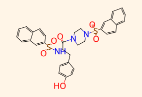 O=C(C(Cc1ccc(O)cc1)NS(=O)(=O)c1ccc2ccccc2c1)N1CCN(S(=O)(=O)c2ccc3ccccc3c2)CC1